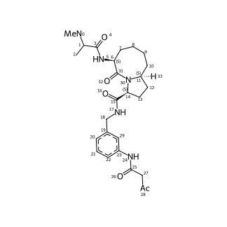 CNC(C)C(=O)N[C@H]1CCCC[C@H]2CC[C@@H](C(=O)NCc3cccc(NC(=O)CC(C)=O)c3)N2C1=O